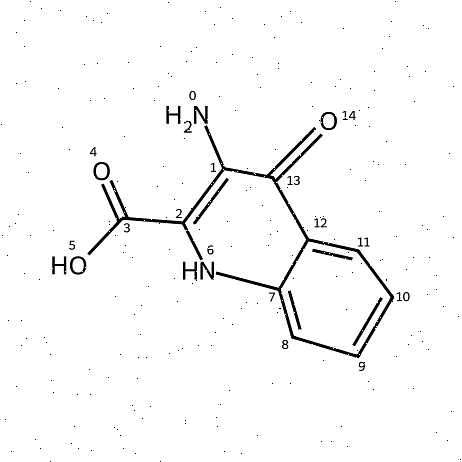 Nc1c(C(=O)O)[nH]c2ccccc2c1=O